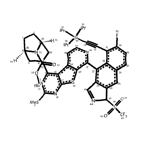 CSc1nc(N2C[C@H]3CC[C@@H](C2)N3C(=O)OC(C)(C)C)c2c(n1)sc1c(-c3c4c(cc5ccc(F)c(C#C[Si](C(C)C)(C(C)C)C(C)C)c35)C(S(=O)(=O)C(F)(F)F)N=C4)nccc12